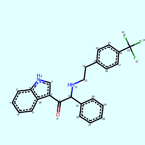 O=C(c1c[nH]c2ccccc12)C(NCCc1ccc(C(F)(F)F)cc1)c1ccccc1